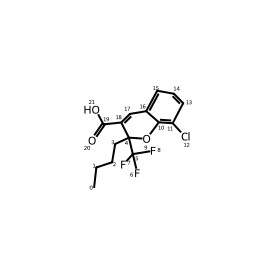 CCCCC1(C(F)(F)F)Oc2c(Cl)cccc2C=C1C(=O)O